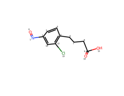 O=Nc1ccc(CCCC(=O)O)c(Cl)c1